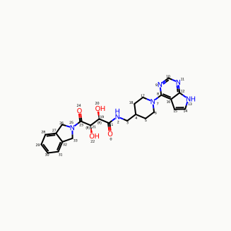 O=C(NCC1CCN(c2ncnc3[nH]ccc23)CC1)[C@H](O)[C@@H](O)C(=O)N1Cc2ccccc2C1